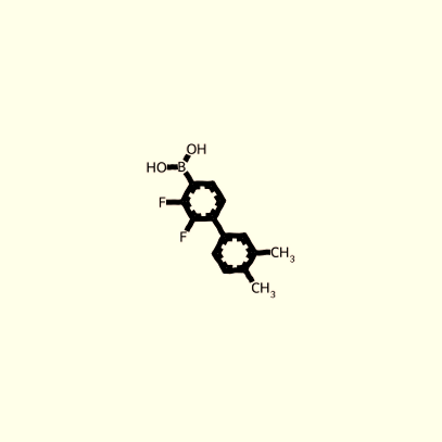 Cc1ccc(-c2ccc(B(O)O)c(F)c2F)cc1C